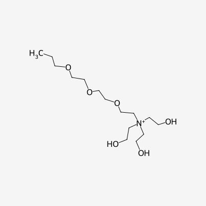 CCCOCCOCCOCC[N+](CCO)(CCO)CCO